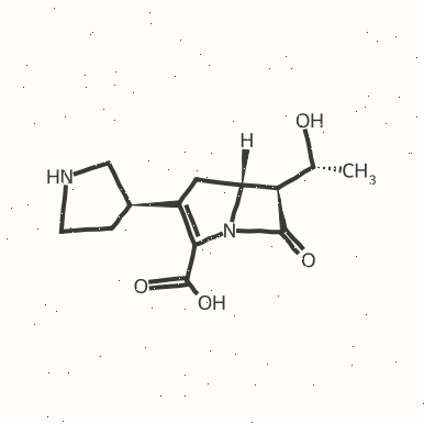 C[C@@H](O)[C@H]1C(=O)N2C(C(=O)O)=C([C@H]3CCNC3)C[C@H]12